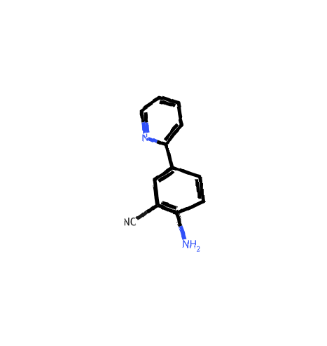 N#Cc1cc(-c2ccccn2)ccc1N